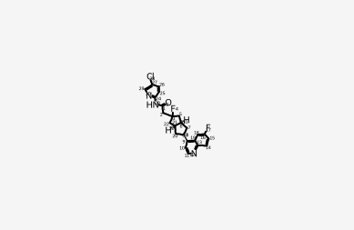 O=C(CC1(F)C[C@H]2C[C@@H](c3ccnc4ccc(F)cc34)C[C@H]2C1)Nc1ccc(Cl)cn1